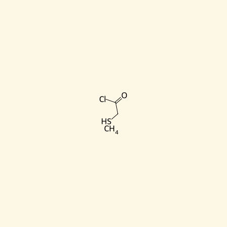 C.O=C(Cl)CS